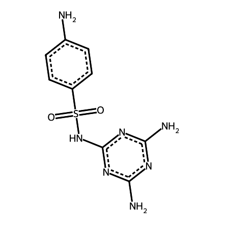 Nc1ccc(S(=O)(=O)Nc2nc(N)nc(N)n2)cc1